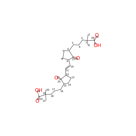 CC(C)(CCCC1CCC(/C=C/C2CCC(CCCC(C)(C)C(=O)O)C2=O)C1=O)C(=O)O